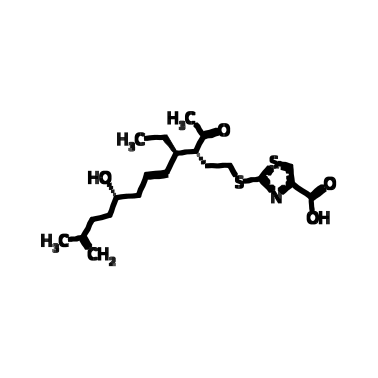 C=C(C)CC[C@H](O)C/C=C/[C@@H](CC)[C@@H](CCSc1nc(C(=O)O)cs1)C(C)=O